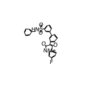 CNC(=O)c1c(-c2ccc(F)cc2)oc2ccc(-c3cccc(S(=O)(=O)NCc4ccccc4)c3)cc12